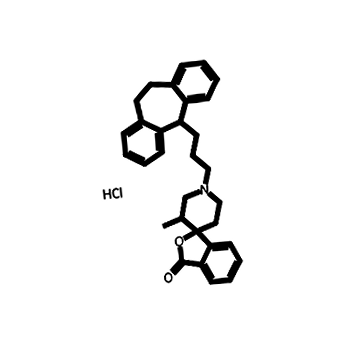 CC1CN(CCCC2c3ccccc3CCc3ccccc32)CCC12OC(=O)c1ccccc12.Cl